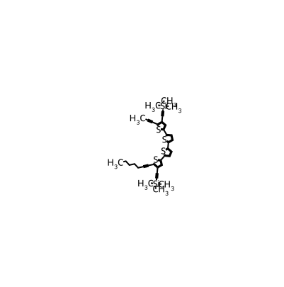 CC#Cc1sc(-c2ccc(-c3ccc(-c4cc(C#C[Si](C)(C)C)c(C#CCCCCC)s4)s3)s2)cc1C#C[Si](C)(C)C